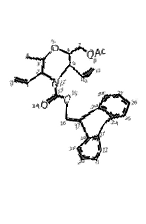 C=CC1C(C)OC(COC(C)=O)C(C=C)N1C(=O)OCC1c2ccccc2-c2ccccc21